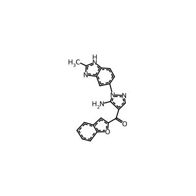 Cc1nc2cc(-n3ncc(C(=O)c4cc5ccccc5o4)c3N)ccc2[nH]1